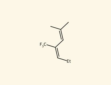 CC/C=C(\C=C(C)C)C(F)(F)F